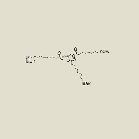 CCCCCCCC/C=C\CCCCCCCCCC(=O)OC[C@@H](COC(=O)CCCCCCCCCCCCCCCCC)OC(=O)CCCCCCCCCCCCCCCCCC